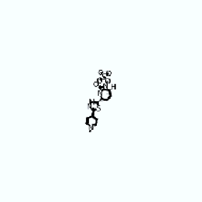 C[n+]1ccc(-c2nnc([C@@H]3CC[C@@H]4CN3C(=O)N4OS(=O)(=O)[O-])s2)cc1